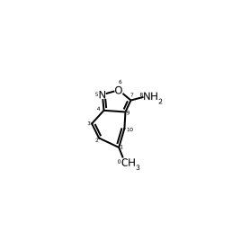 Cc1ccc2noc(N)c2c1